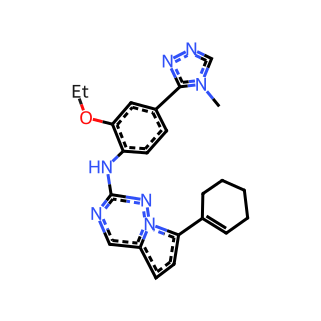 CCOc1cc(-c2nncn2C)ccc1Nc1ncc2ccc(C3=CCCCC3)n2n1